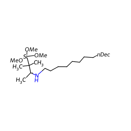 CCCCCCCCCCCCCCCCCCN[C](C)C(C)(C)[Si](OC)(OC)OC